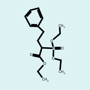 CCOC(=O)C(CCc1ccccc1)P(=O)(OCC)OCC